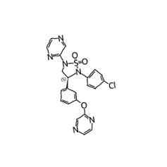 O=S1(=O)N(c2cnccn2)C[C@H](c2cccc(Oc3cnccn3)c2)N1c1ccc(Cl)cc1